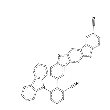 N#Cc1ccc2sc3cc4c(cc3c2c1)sc1ccc(-c2c(C#N)cccc2-n2c3ccccc3c3ccccc32)cc14